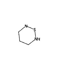 C1C[N]SNC1